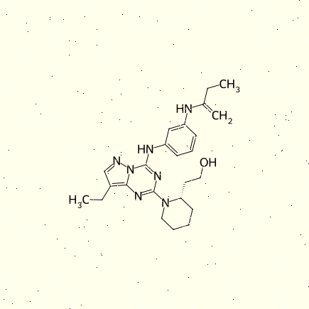 C=C(CC)Nc1cccc(Nc2nc(N3CCCC[C@H]3CCO)nc3c(CC)cnn23)c1